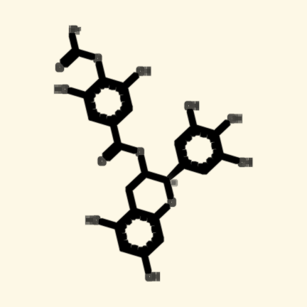 CC(C)C(=O)Oc1c(O)cc(C(=O)OC2Cc3c(O)cc(O)cc3O[C@@H]2c2cc(O)c(O)c(O)c2)cc1O